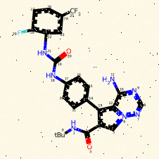 CC(C)(C)NC(=O)c1cn2ncnc(N)c2c1-c1ccc(NC(=O)Nc2cc(C(F)(F)F)ccc2F)cc1